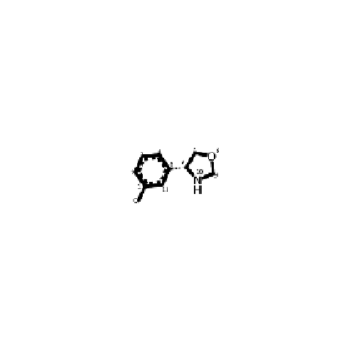 Cc1cccc([C@@H]2COCN2)c1